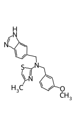 COc1cccc(CN(Cc2ccc3nc[nH]c3c2)c2nc(C)cs2)c1